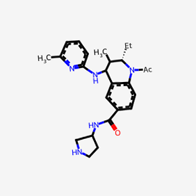 CC[C@H]1C(C)C(Nc2cccc(C)n2)c2cc(C(=O)NC3CCNC3)ccc2N1C(C)=O